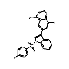 Cc1ccc(S(=O)(=O)n2cc(-c3cc(F)c4nccc(Cl)c4c3)c3cccnc32)cc1